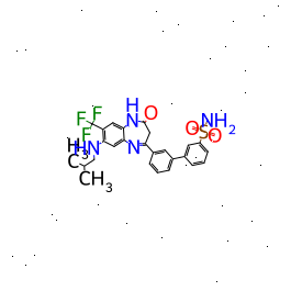 CC(C)CNc1cc2c(cc1C(F)(F)F)NC(=O)CC(c1cccc(-c3cccc(S(N)(=O)=O)c3)c1)=N2